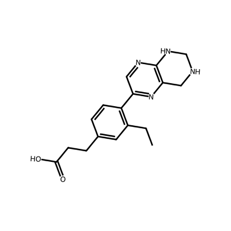 CCc1cc(CCC(=O)O)ccc1-c1cnc2c(n1)CNCN2